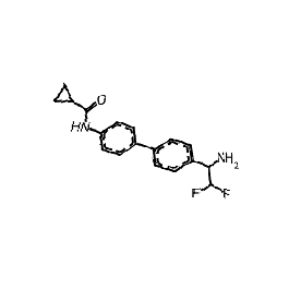 NC(c1ccc(-c2ccc(NC(=O)C3CC3)cc2)cc1)C(F)F